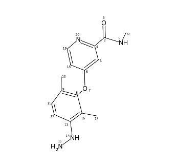 CNC(=O)c1cc(Oc2c(C)ccc(NN)c2C)ccn1